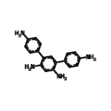 Nc1ccc(-c2cc(-c3ccc(N)cc3)c(N)cc2N)cc1